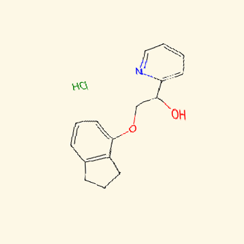 Cl.OC(COc1cccc2c1CCC2)c1ccccn1